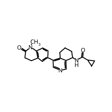 CN1C(=O)CCc2cc(-c3cncc4c3CCCC4NC(=O)C3CC3)ccc21